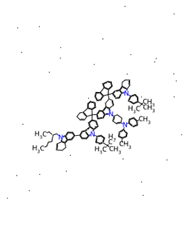 CCCCC(CC)Cn1c2c(c3cc(-c4ccc5c(c4)c4cc(C6(c7ccc8c(c7)c7c(n8C8=CC=C(N(c9ccc(C)cc9)c9ccc(C)cc9)CC8)C=CC(C8(c9ccc%10c(c9)c9c(n%10-c%10ccc(C(C)(C)C)cc%10)C=CCC9)c9ccccc9-c9ccccc98)C7)C7=C(CCC=C7)c7ccccc76)ccc4n5-c4ccc(C(C)(C)C)cc4)ccc31)CCC=C2